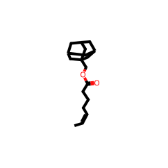 C/C=C\CCCC(=O)OCC12CC3CC(CC(C3)C1)C2